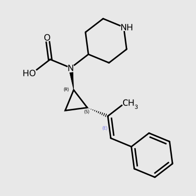 C/C(=C\c1ccccc1)[C@@H]1C[C@H]1N(C(=O)O)C1CCNCC1